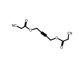 N#CCC(=O)OCC#CCOC(=O)CC#N